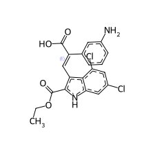 CCOC(=O)c1[nH]c2cc(Cl)cc(Cl)c2c1/C=C(/C(=O)O)c1cccc(N)c1